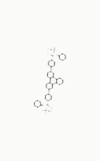 CC1(C)N=C(c2ccc(-c3ccc4c5ccc(-c6ccc(C7=NC(C)(C)C(C)(C)N7c7ccccc7)cc6)cc5c5ccccc5c4c3)cc2)N(c2ccccc2)C1(C)C